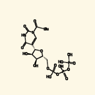 CC(C)(C)C(=O)n1cc([C@@H]2O[C@H](COP(=O)(O)OP(=O)(O)OP(=O)(O)O)[C@@H](O)[C@H]2O)c(=O)[nH]c1=O